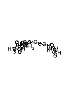 CO[C@@H]1C(N(C)C(=O)C2CCN(CCOCCOCCOCCNc3cccc4c3C(=O)N(C3CCC(=O)NC3=O)C4=O)CC2)C[C@H]2O[C@]1(C)n1c3ccccc3c3c4c(c5c6ccccc6n2c5c31)C(=O)NC4